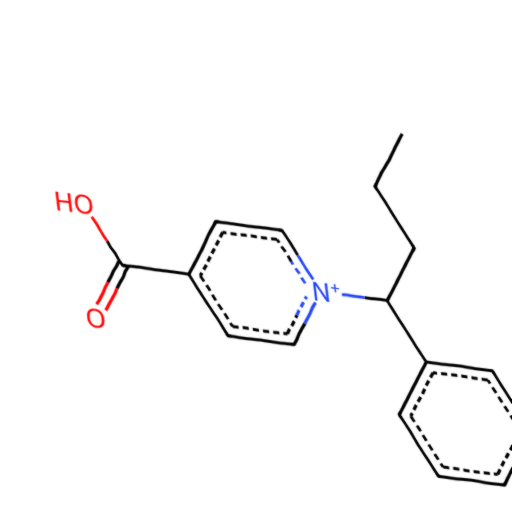 CCCC(c1ccccc1)[n+]1ccc(C(=O)O)cc1